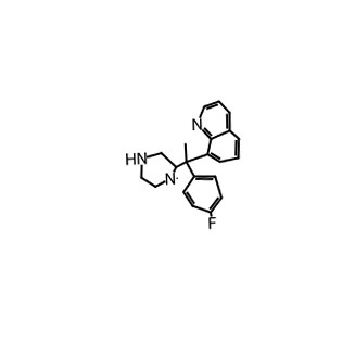 CC(c1ccc(F)cc1)(c1cccc2cccnc12)C1CNCC[N]1